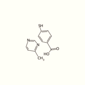 Cc1ccncn1.O=C(O)c1ccc(S)cc1